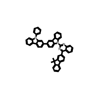 CC1(C)c2ccccc2-c2ccc(-c3nc(-n4c5ccccc5c5cc(-c6ccc7c8ccccc8n(-c8ccccc8)c7c6)ccc54)nc4ccccc34)cc21